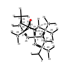 CC(C)P(=NP(=NC(C)(C)CC(C)(C)C)(N=P(N(C)C)(N(C)C)N(C)C)N=P(N(C)C)(N(C)C)N(C)C)(N(C)C)N(C)C